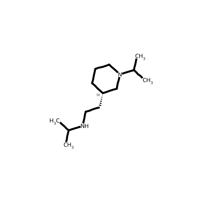 CC(C)NCC[C@@H]1CCCN(C(C)C)C1